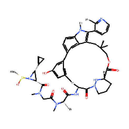 CCn1c(-c2cccnc2C(C)C)c2c3cc(ccc31)-c1cc(O)cc(c1)C[C@H](NC(=O)[C@H](C(C)C)N(C)C(=O)CN(C)C(=O)[C@H]1[C@@H](C3CC3)N1[S@+]([O-])C(C)(C)C)C(=O)N1CCC[C@H](N1)C(=O)OCC(C)(C)C2